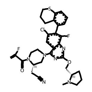 C=C(F)C(=O)N1CCN(c2nc(OC[C@@H]3CCCN3C)nc3c(F)c(-c4cccc5c4CCCS5)c(Cl)cc23)C[C@@H]1CC#N